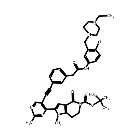 CCN1CCN(Cc2cc(NC(=O)Cc3cccc(C#Cc4cnc(N)nc4-c4cc5c(n4C)CCN(C(=O)OC(C)(C)C)C5=O)c3)ccc2Cl)CC1